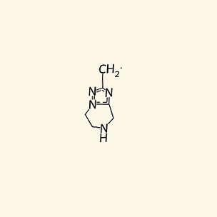 [CH2]c1nc2n(n1)CCNC2